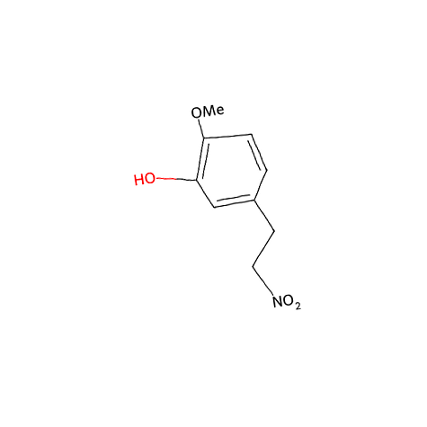 COc1ccc(CC[N+](=O)[O-])cc1O